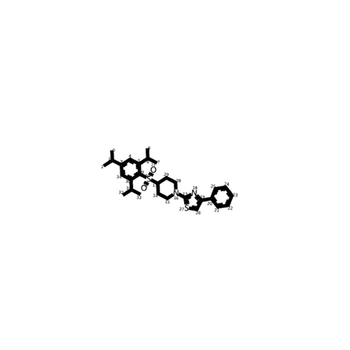 CC(C)c1cc(C(C)C)c(S(=O)(=O)C2CCN(c3nc(-c4ccccc4)cs3)CC2)c(C(C)C)c1